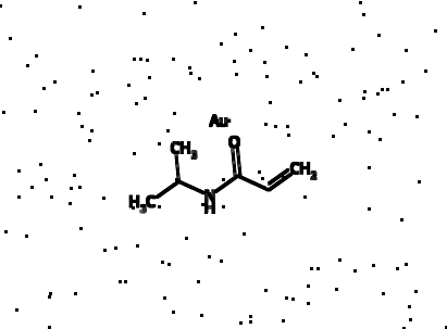 C=CC(=O)NC(C)C.[Au]